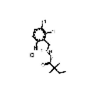 CCC(C)(C)C(=O)ONCc1c(N)ccc(Cl)c1Cl.Cl